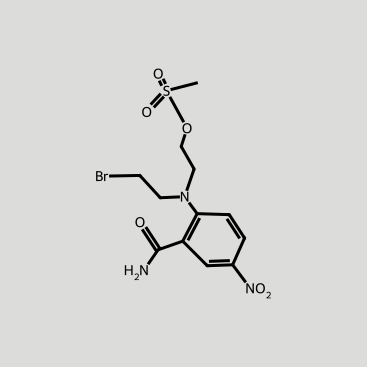 CS(=O)(=O)OCCN(CCBr)c1ccc([N+](=O)[O-])cc1C(N)=O